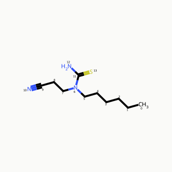 CCCCCCN(CCC#N)C(N)=S